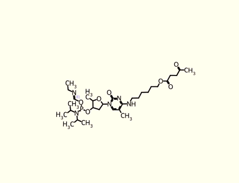 CC/N=C/OP(OC1CC(n2cc(C)c(NCCCCCCOC(=O)CCC(C)=O)nc2=O)OC1C)N(C(C)C)C(C)C